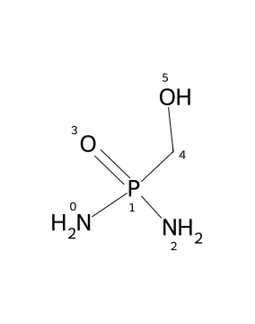 NP(N)(=O)CO